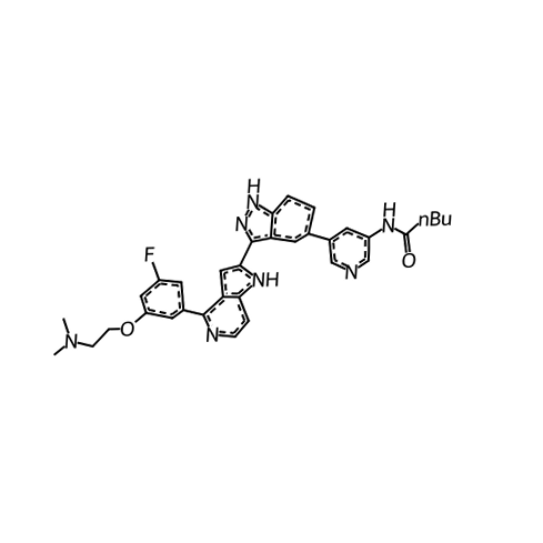 CCCCC(=O)Nc1cncc(-c2ccc3[nH]nc(-c4cc5c(-c6cc(F)cc(OCCN(C)C)c6)nccc5[nH]4)c3c2)c1